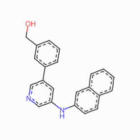 OCc1cccc(-c2cncc(Nc3ccc4ccccc4c3)c2)c1